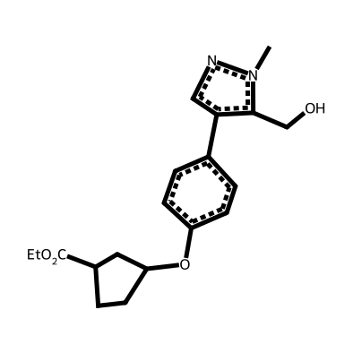 CCOC(=O)C1CCC(Oc2ccc(-c3cnn(C)c3CO)cc2)C1